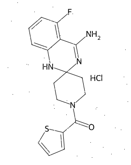 Cl.NC1=NC2(CCN(C(=O)c3cccs3)CC2)Nc2cccc(F)c21